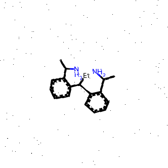 CCC(c1ccccc1C(C)N)c1ccccc1C(C)N